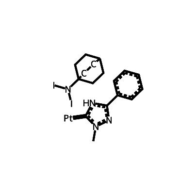 Cn1nc(-c2ccccc2)[nH][c]1=[Pt].IN(I)C12CCC(CC1)CC2